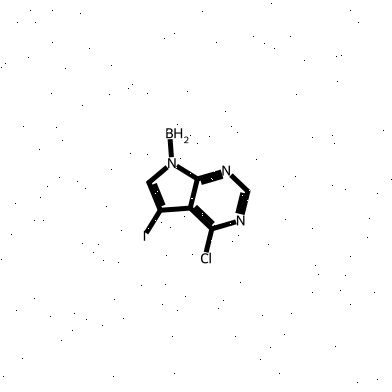 Bn1cc(I)c2c(Cl)ncnc21